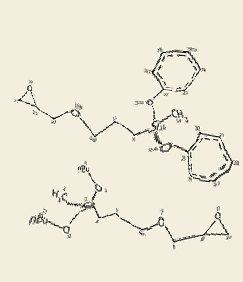 CCCCO[Si](C)(CCCOCC1CO1)OCCCC.C[Si](CCCOCC1CO1)(Oc1ccccc1)Oc1ccccc1